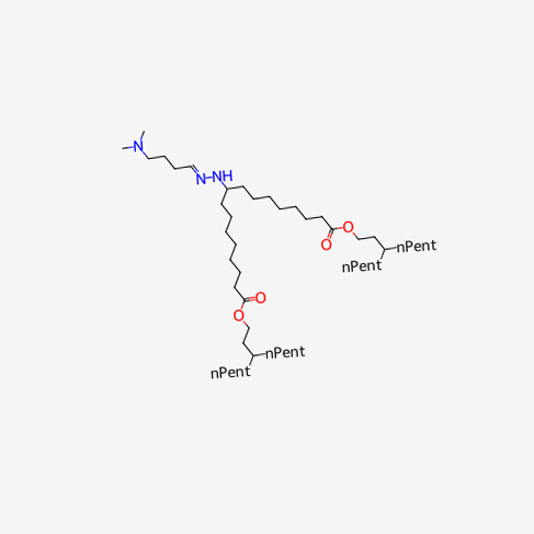 CCCCCC(CCCCC)CCOC(=O)CCCCCCCC(CCCCCCCC(=O)OCCC(CCCCC)CCCCC)N/N=C/CCCN(C)C